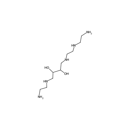 NCCNCCNCC(O)C(O)CNCCN